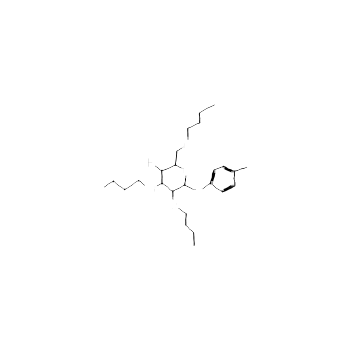 CCCCOCC1OC(Sc2ccc(C)cc2)C(OCCCC)C(OCCCC)C1F